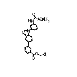 O=C(Nc1cccc(-n2cnc3cc(-c4cccc(C(=O)OCC5CC5)c4)ccc32)c1)[AsH]CC(F)(F)F